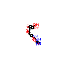 C[C@]12CC[C@@H](O)[C@@](C)(CO)C1CCC1(CO1)C2/C=C/C1=CC(=C\c2ccc(NC(=O)CC(=O)NC3C4CN5CC3CN(C4)C5)cc2)/OC1=O